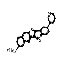 CCCCCCc1ccc2cc3sc4c5cc(-c6cccnc6)ccc5sc4c3cc2c1